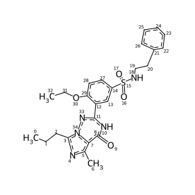 CCCc1nc(C)c2c(=O)[nH]c(-c3cc(S(=O)(=O)NCCc4ccccc4)ccc3OCC)nn12